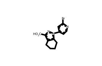 O=C(O)c1nn(-c2ccnc(Br)c2)c2c1CCCC2